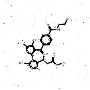 Cc1sc2c(c1C)C(c1ccc(C(=O)NCCN)cc1)=N[C@@H](CC(=O)OC(C)(C)C)c1nnc(C)n1-2